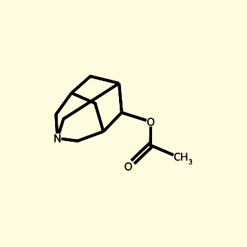 CC(=O)OC1C2CC3CC1CN(C3)C2